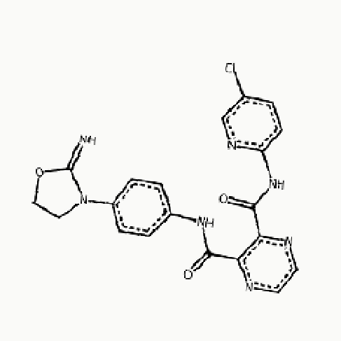 N=C1OCCN1c1ccc(NC(=O)c2nccnc2C(=O)Nc2ccc(Cl)cn2)cc1